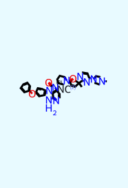 CN1CCN(c2ccnc(C(C)(C)/C=C(/C#N)C(=O)N3CCC[C@@H](n4c(=O)n(-c5ccc(Oc6ccccc6)cc5)c5c(N)nccc54)C3)n2)CC1